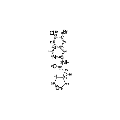 O=C(Nc1cc2cc(Br)c(Cl)cc2cn1)[C@@H]1CC12CCOCC2